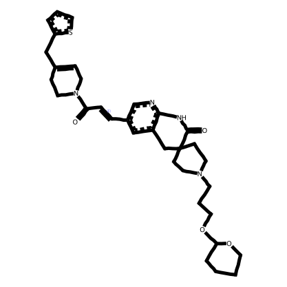 O=C(/C=C/c1cnc2c(c1)CC1(CCN(CCCOC3CCCCO3)CC1)C(=O)N2)N1CC=C(Cc2cccs2)CC1